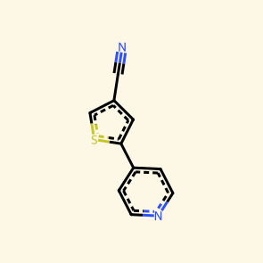 N#Cc1csc(-c2ccncc2)c1